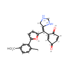 Cc1ccc(C(=O)O)cc1-c1ccc(C(C2=CC(=O)C=CC2=O)=C2CNCN2)o1